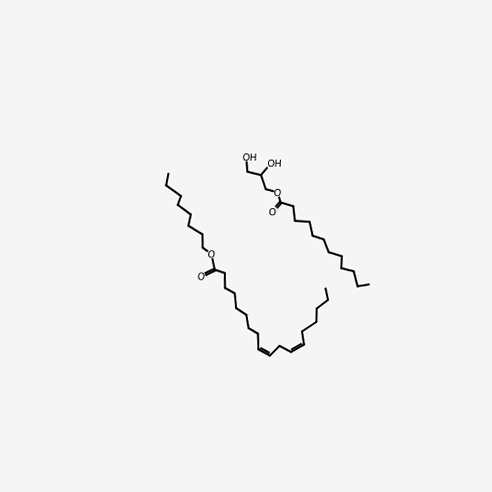 CCCCC/C=C\C/C=C\CCCCCCCC(=O)OCCCCCCCC.CCCCCCCCCCCC(=O)OCC(O)CO